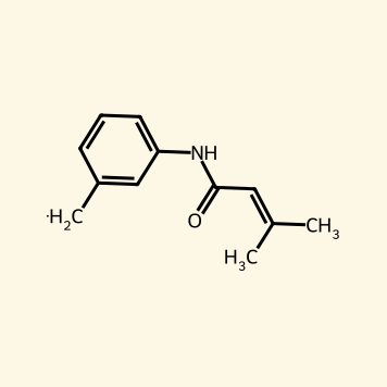 [CH2]c1cccc(NC(=O)C=C(C)C)c1